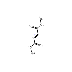 CCC(C)OC(=O)/C=C/C(=O)OC(C)CC